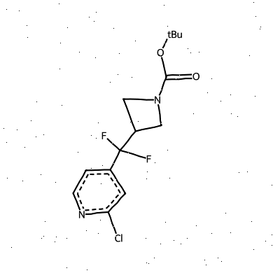 CC(C)(C)OC(=O)N1CC(C(F)(F)c2ccnc(Cl)c2)C1